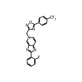 Fc1ccccc1-c1nc2ccn(Cc3noc(-c4ccc(C(F)(F)F)cc4)n3)cc-2n1